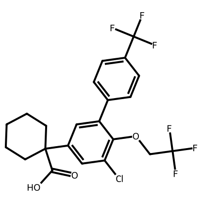 O=C(O)C1(c2cc(Cl)c(OCC(F)(F)F)c(-c3ccc(C(F)(F)F)cc3)c2)CCCCC1